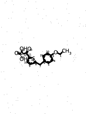 CCOc1ccc(Cc2ccc(C(=O)P(=O)(O)O)s2)cc1